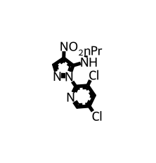 CCCNc1c([N+](=O)[O-])cnn1-c1ncc(Cl)cc1Cl